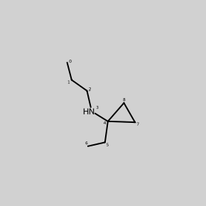 CC[CH]NC1(CC)CC1